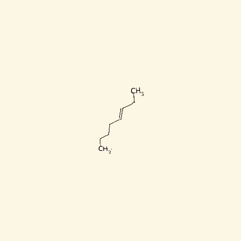 [CH2]CCCC=CCC